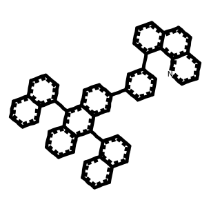 c1cc(-c2ccc3c(-c4cccc5ccccc45)c4ccccc4c(-c4cccc5ccccc45)c3c2)cc(-c2cccc3ccc4cccnc4c23)c1